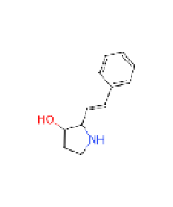 OC1CCNC1C=Cc1ccccc1